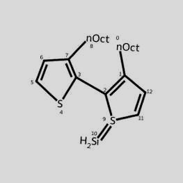 CCCCCCCCC1=C(c2sccc2CCCCCCCC)S(=[SiH2])C=C1